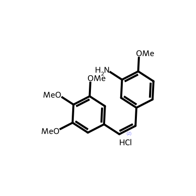 COc1ccc(/C=C\c2cc(OC)c(OC)c(OC)c2)cc1N.Cl